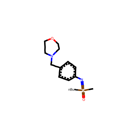 CCCCS(C)(=O)=Nc1ccc(CN2CCOCC2)cc1